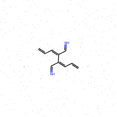 C=C/C=C(C=N)\C(C=N)=C/C=C